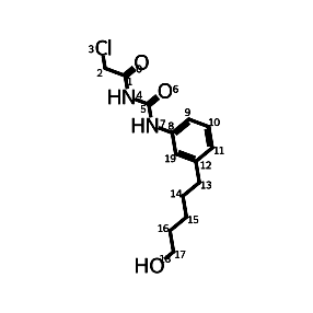 O=C(CCl)NC(=O)Nc1cccc(CCCCCO)c1